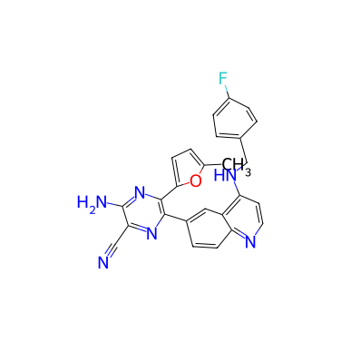 Cc1ccc(-c2nc(N)c(C#N)nc2-c2ccc3nccc(NCc4ccc(F)cc4)c3c2)o1